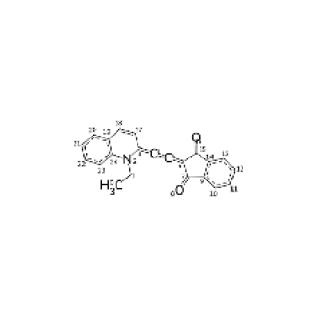 CCN1C(=C=C=C2C(=O)c3ccccc3C2=O)C=Cc2ccccc21